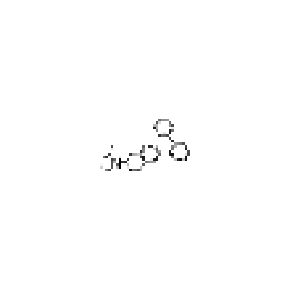 CC1CCCN1C1CCc2cc(-c3ccccc3-c3ccccc3)ccc2C1